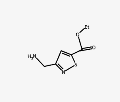 CCOC(=O)c1cc(CN)ns1